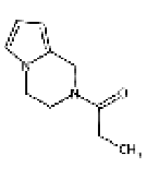 CCC(=O)N1CCn2cccc2C1